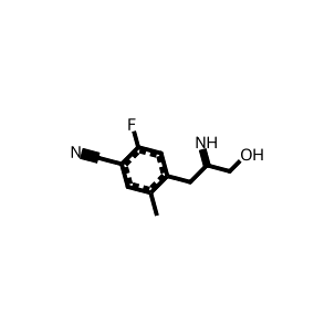 Cc1cc(C#N)c(F)cc1CC(=N)CO